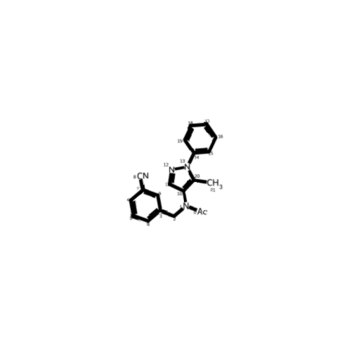 CC(=O)N(Cc1cccc(C#N)c1)c1cnn(-c2ccccc2)c1C